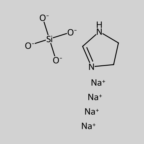 C1=NCCN1.[Na+].[Na+].[Na+].[Na+].[O-][Si]([O-])([O-])[O-]